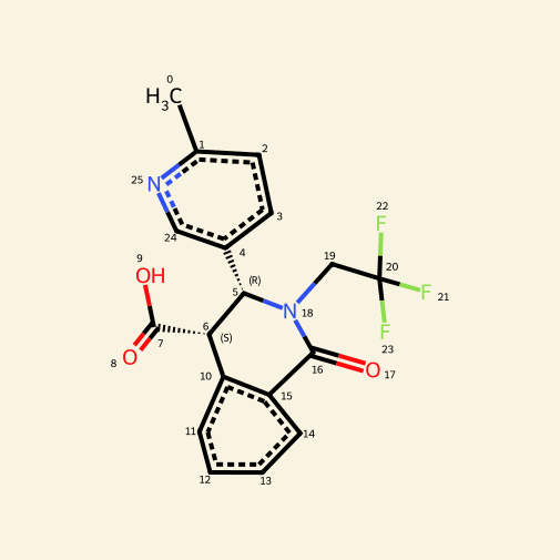 Cc1ccc([C@H]2[C@@H](C(=O)O)c3ccccc3C(=O)N2CC(F)(F)F)cn1